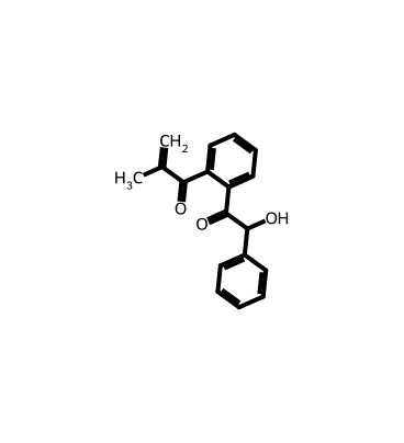 C=C(C)C(=O)c1ccccc1C(=O)C(O)c1ccccc1